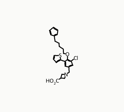 O=C(O)C1CN(Cc2cc(Cl)c(OCCCCCc3ccccc3)c(-c3cccs3)c2)C1